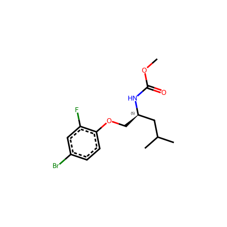 COC(=O)N[C@H](COc1ccc(Br)cc1F)CC(C)C